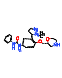 CN1N=CCC1c1cc(NC(=O)Nc2ccccc2)ccc1OCC1CNCCO1